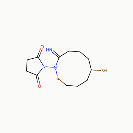 N=C1CCCC(S)CCCSN1N1C(=O)CCC1=O